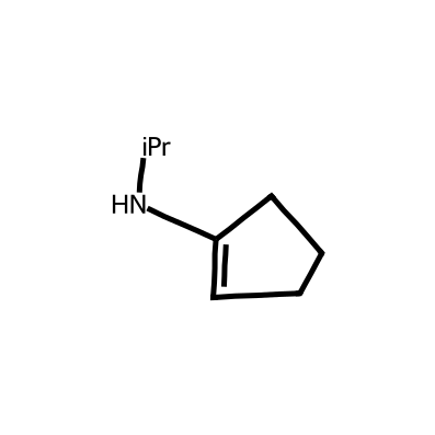 CC(C)NC1=CCCC1